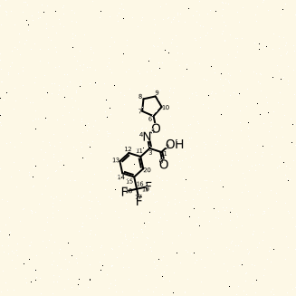 O=C(O)/C(=N\OC1CCCC1)c1cccc(C(F)(F)F)c1